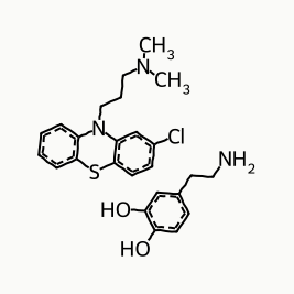 CN(C)CCCN1c2ccccc2Sc2ccc(Cl)cc21.NCCc1ccc(O)c(O)c1